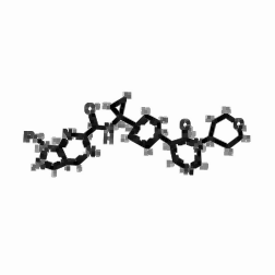 CC(C)n1ncc2cnc(C(=O)NC3(c4ccc(-c5cncn(C6CCOCC6)c5=O)cc4)CC3)nc21